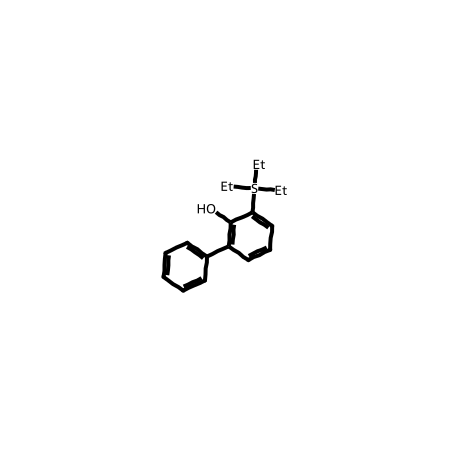 CCS(CC)(CC)c1cccc(-c2ccccc2)c1O